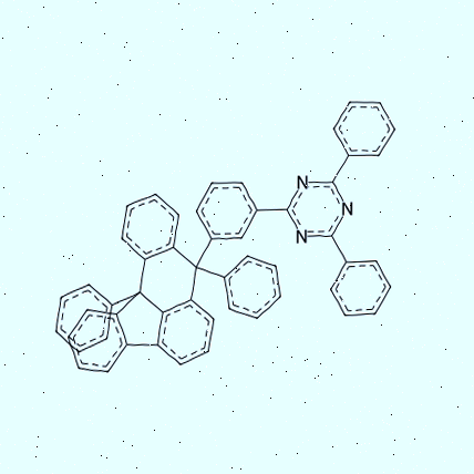 c1ccc(-c2nc(-c3ccccc3)nc(-c3cccc(C4(c5ccccc5)c5ccccc5C5(c6ccccc6)c6ccccc6-c6cccc4c65)c3)n2)cc1